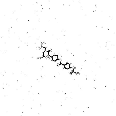 CC(C)CN(CC(C)C)C(=O)Cc1ccc(OC(=O)c2ccc(NC(=N)N)cc2)cc1